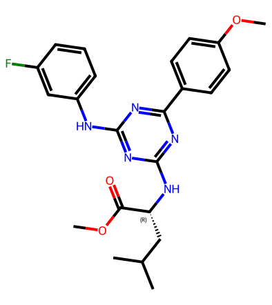 COC(=O)[C@@H](CC(C)C)Nc1nc(Nc2cccc(F)c2)nc(-c2ccc(OC)cc2)n1